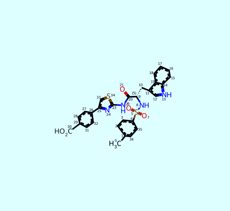 Cc1ccc(S(=O)(=O)N[C@@H](Cc2c[nH]c3ccccc23)C(=O)Nc2nc(-c3ccc(C(=O)O)cc3)cs2)cc1